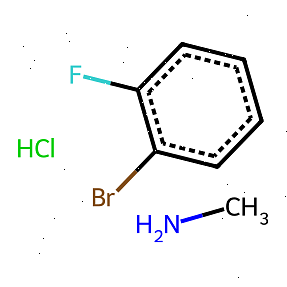 CN.Cl.Fc1ccccc1Br